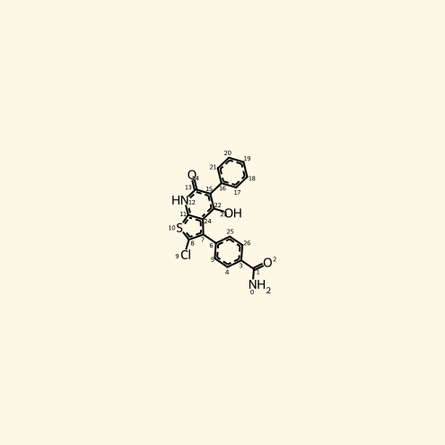 NC(=O)c1ccc(-c2c(Cl)sc3[nH]c(=O)c(-c4ccccc4)c(O)c23)cc1